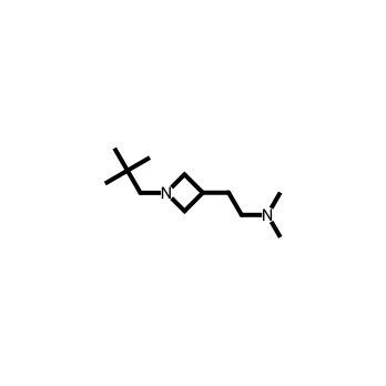 CN(C)CCC1CN(CC(C)(C)C)C1